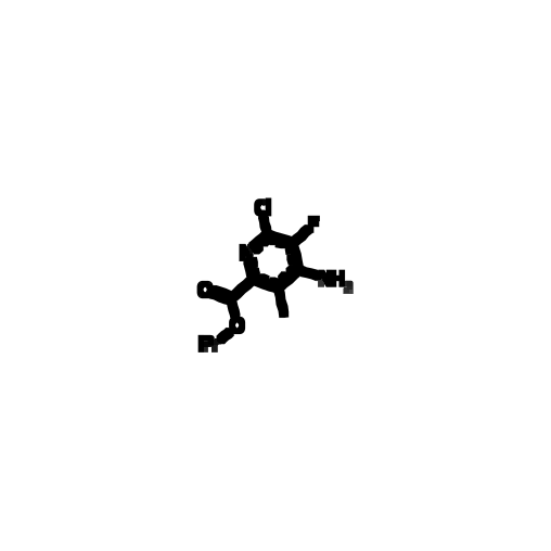 Cc1c(C(=O)OC(C)C)nc(Cl)c(F)c1N